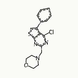 Clc1nc(CN2CCOCC2)nc2scc(-c3ccccc3)c12